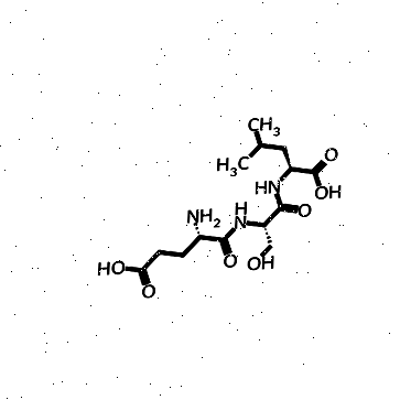 CC(C)C[C@H](NC(=O)[C@H](CO)NC(=O)[C@@H](N)CCC(=O)O)C(=O)O